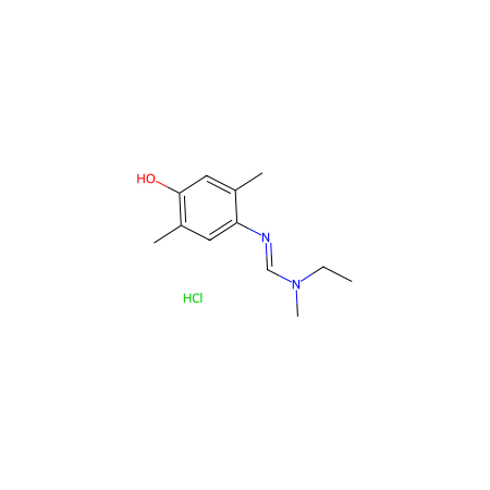 CCN(C)C=Nc1cc(C)c(O)cc1C.Cl